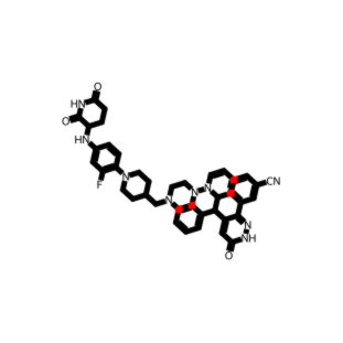 N#Cc1cccc(-c2n[nH]c(=O)cc2C(c2ccccc2)C2N=CC=CN2N2CCN(CC3CCN(c4ccc(NC5CCC(=O)NC5=O)cc4F)CC3)CC2)c1